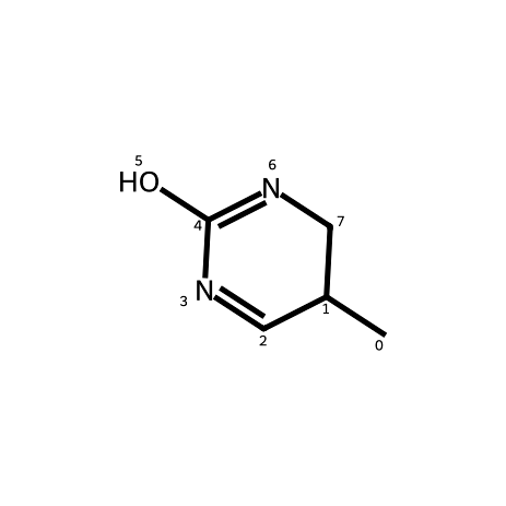 CC1C=NC(O)=NC1